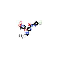 Cc1ccn(-c2cnc(C(=O)NCc3ccc(Cl)cc3)cc2O[C@H]2CCN3C(=O)OC[C@@H]3C2)n1